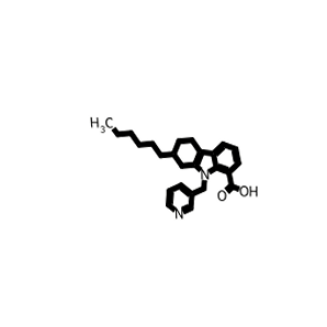 CCCCCCC1CCc2c(n(Cc3cccnc3)c3c(C(=O)O)cccc23)C1